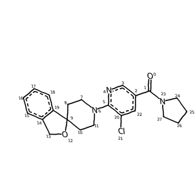 O=C(c1cnc(N2CCC3(CC2)OCc2ccccc23)c(Cl)c1)N1CCCC1